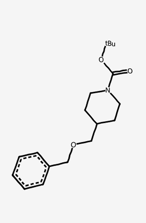 CC(C)(C)OC(=O)N1CCC(COCc2ccccc2)CC1